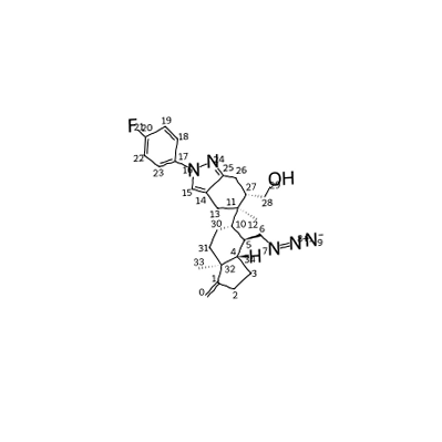 C=C1CC[C@H]2[C@H](CN=[N+]=[N-])[C@@H]([C@@]3(C)Cc4cn(-c5ccc(F)cc5)nc4C[C@@H]3CO)CC[C@]12C